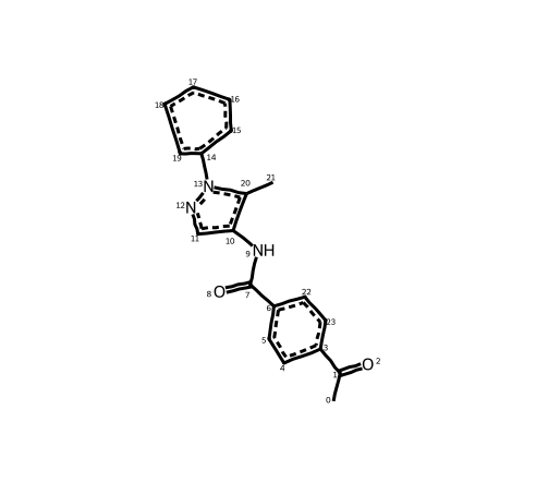 CC(=O)c1ccc(C(=O)Nc2cnn(-c3ccccc3)c2C)cc1